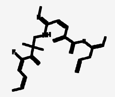 C=CC/C(=C/C)SC(=C)C(=C)/C=C\C(=N/C)NCC(C)(C)C(=C)/C(F)=C\C=C/C